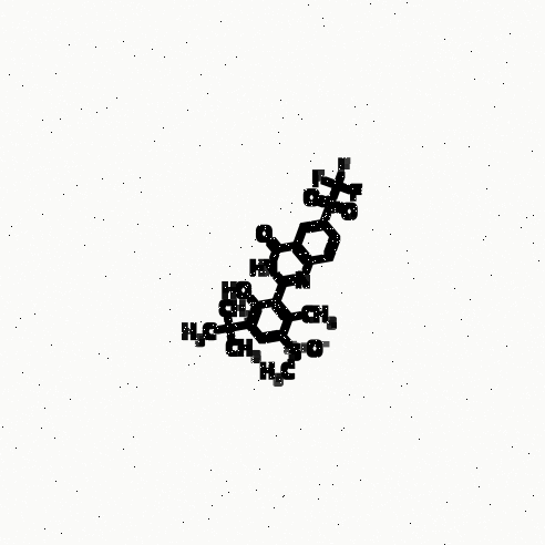 Cc1c([S@@+](C)[O-])cc(C(C)(C)C)c(O)c1-c1nc2ccc(S(=O)(=O)C(F)(F)F)cc2c(=O)[nH]1